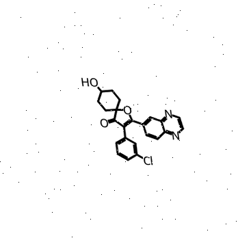 O=C1C(c2cccc(Cl)c2)=C(c2ccc3nccnc3c2)OC12CCC(O)CC2